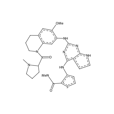 CNC(=O)c1sccc1Nc1nc(Nc2cc3c(cc2OC)CCCN3C(=O)C2CCCN2C)nc2[nH]ccc12